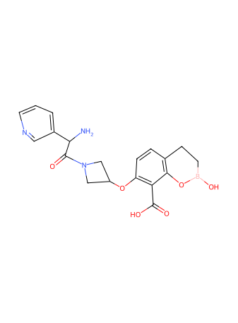 NC(C(=O)N1CC(Oc2ccc3c(c2C(=O)O)OB(O)CC3)C1)c1cccnc1